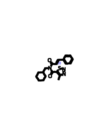 Cc1nnsc1C(=O)N(CC1CCCCC1)C(=O)/C=C/c1ccccc1